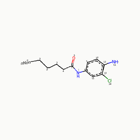 CCCCCCCCCCCCCC(=O)Nc1ccc([NH])c(Cl)c1